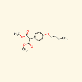 CCCCOc1ccc(C(C(=O)OC)C(=O)OC)cc1